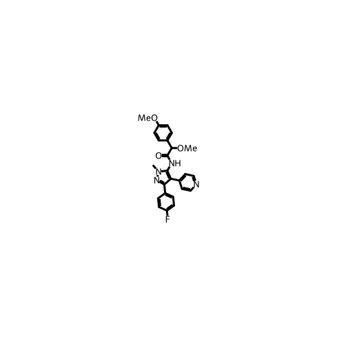 COc1ccc(C(OC)C(=O)Nc2c(-c3ccncc3)c(-c3ccc(F)cc3)nn2C)cc1